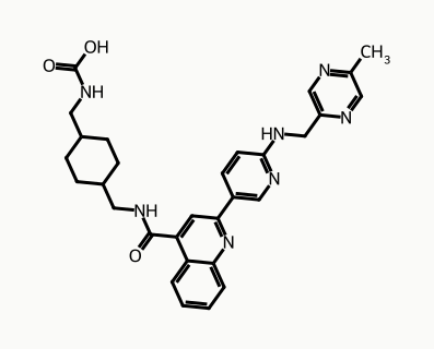 Cc1cnc(CNc2ccc(-c3cc(C(=O)NCC4CCC(CNC(=O)O)CC4)c4ccccc4n3)cn2)cn1